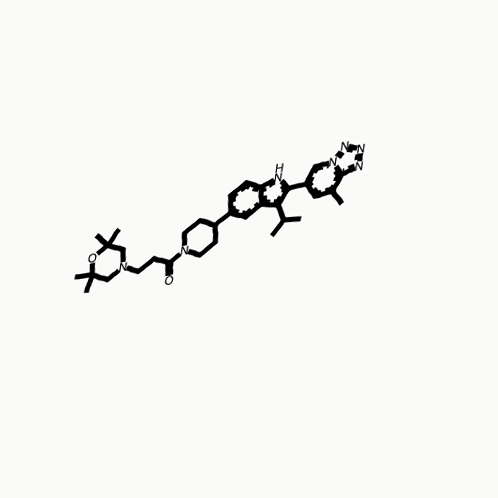 Cc1cc(-c2[nH]c3ccc(C4CCN(C(=O)CCN5CC(C)(C)OC(C)(C)C5)CC4)cc3c2C(C)C)cn2nnnc12